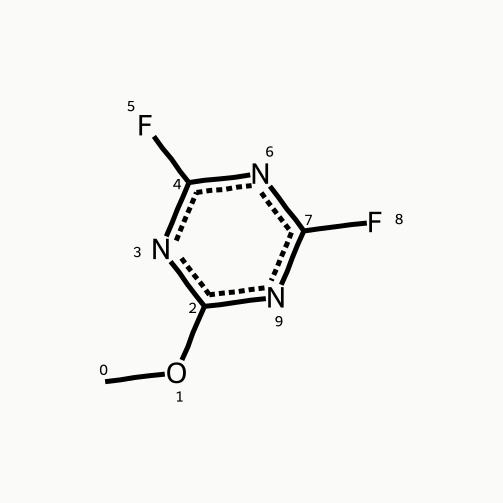 COc1nc(F)nc(F)n1